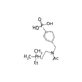 CC[PH](C)(C)CCN(Cc1ccc(P(=O)(O)O)cc1)C(C)=O